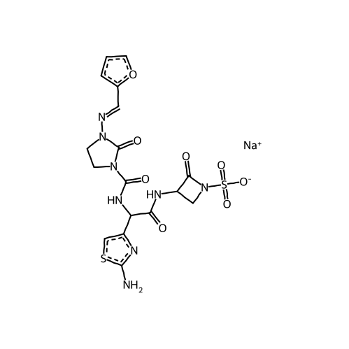 Nc1nc(C(NC(=O)N2CCN(N=Cc3ccco3)C2=O)C(=O)NC2CN(S(=O)(=O)[O-])C2=O)cs1.[Na+]